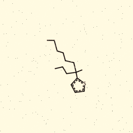 CCCCCCC(C)(CCC)c1cccs1